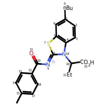 CCCCc1ccc2c(c1)s/c(=N\C(=O)c1ccc(C)cc1)n2C(CC)C(=O)O